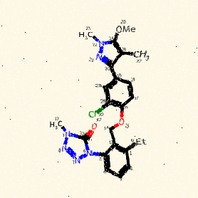 CCc1cccc(-n2nnn(C)c2=O)c1COc1ccc(-c2nn(C)c(OC)c2C)cc1Cl